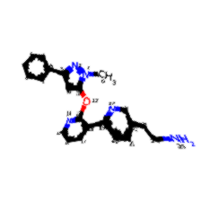 Cn1nc(-c2ccccc2)cc1Oc1ncccc1-c1ccc(CCN)cn1